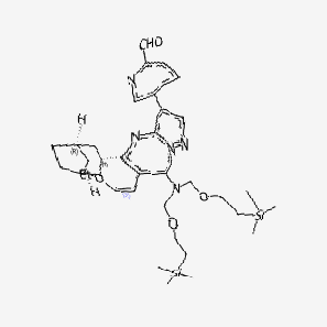 CCO/C=C\c1c([C@H]2C[C@@H]3CC[C@@H](C3)C2)nc2c(-c3ccc(C=O)nc3)cnn2c1N(COCC[Si](C)(C)C)COCC[Si](C)(C)C